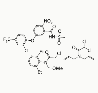 C=CCN(CC=C)C(=O)C(Cl)Cl.CCc1cccc(CC)c1N(COC)C(=O)CCl.CS(=O)(=O)NC(=O)c1cc(Oc2ccc(C(F)(F)F)cc2Cl)ccc1[N+](=O)[O-]